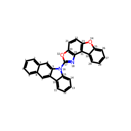 c1ccc2cc3c(cc2c1)c1ccccc1n3-c1nc2c(ccc3oc4ccccc4c32)o1